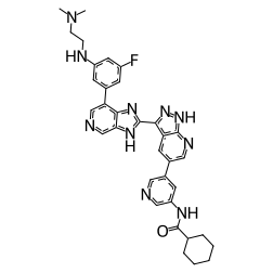 CN(C)CCNc1cc(F)cc(-c2cncc3[nH]c(-c4n[nH]c5ncc(-c6cncc(NC(=O)C7CCCCC7)c6)cc45)nc23)c1